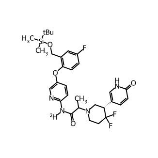 [2H]N(C(=O)C(C)N1CCC(F)(F)[C@@H](c2ccc(=O)[nH]c2)C1)c1ccc(Oc2ccc(F)cc2CO[Si](C)(C)C(C)(C)C)cn1